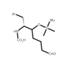 CC(C)C[C@@H](NC(=O)O)C(CCCC=O)O[Si](C)(C)C(C)(C)C